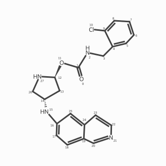 O=C(NCc1ccccc1Cl)O[C@H]1C[C@H](Nc2ccc3cnccc3c2)CN1